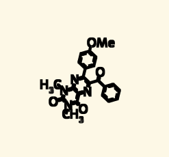 COc1ccc(-c2nc3c(nc2C(=O)c2ccccc2)c(=O)n(C)c(=O)n3C)cc1